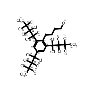 [O]CCCCc1c(C(Cl)(Cl)C(Cl)(Cl)C(Cl)(Cl)C(Cl)(Cl)Cl)cc(C(Cl)(Cl)C(Cl)(Cl)C(Cl)(Cl)C(Cl)(Cl)Cl)cc1C(Cl)(Cl)C(Cl)(Cl)C(Cl)(Cl)C(Cl)(Cl)Cl